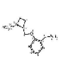 NCc1ccncc1OCC1CCN1C(=O)O